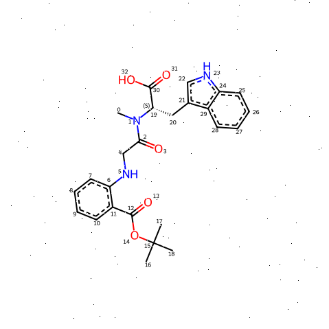 CN(C(=O)CNc1ccccc1C(=O)OC(C)(C)C)[C@@H](Cc1c[nH]c2ccccc12)C(=O)O